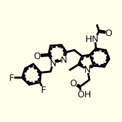 CC(=O)Nc1cccc2c1c(Cc1ccc(=O)n(Cc3ccc(F)cc3F)n1)c(C)n2CC(=O)O